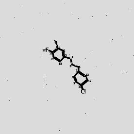 Cc1cc(CCCc2ccc(Cl)cc2)ccc1F